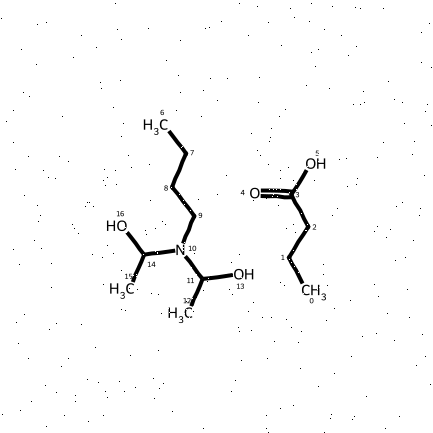 CCCC(=O)O.CCCCN(C(C)O)C(C)O